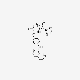 C[C@H]1CC[C@H](C)N1c1c(N[C@@H](Cc2ccc(Nc3nccc4ccncc34)cc2)C(=O)O)c(=O)c1=O